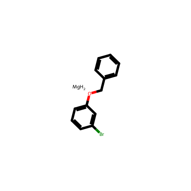 Brc1cccc(OCc2ccccc2)c1.[MgH2]